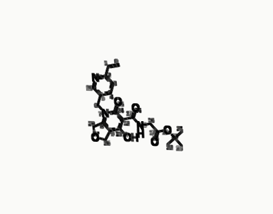 C=Cc1ccc(Cn2c3c(c(O)c(C(=O)NCC(=O)OC(C)(C)C)c2=O)COC3)cn1